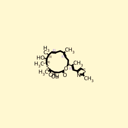 C/C1=C\C[C@@H](/C(C)=C/c2csc(C)n2)OC(=O)C[C@H](O)C(C)(C)S[C@H](C)[C@@H](O)[C@@H](C)/C=C/C1